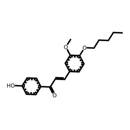 CCCCCOc1ccc(C=CC(=O)c2ccc(O)cc2)cc1OC